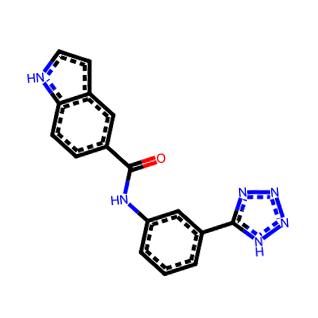 O=C(Nc1cccc(-c2nnn[nH]2)c1)c1ccc2[nH]ccc2c1